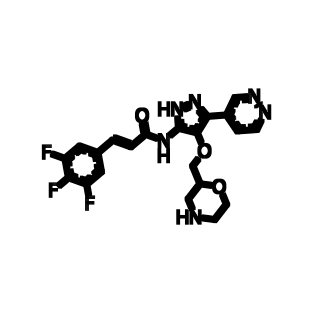 O=C(C=Cc1cc(F)c(F)c(F)c1)Nc1[nH]nc(-c2ccnnc2)c1OCC1CNCCO1